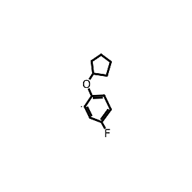 Fc1c[c]c(OC2CCCC2)cc1